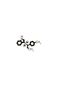 C=CC(c1ccc(C)cc1)S(=O)(=O)c1c[nH]c2ccccc12